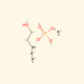 CC(C)CCO.O=P([O-])([O-])[O-].[K+].[K+].[K+]